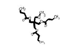 CCCC(=O)OCC(COC)(COC(=O)CCC)COC(=O)CCC